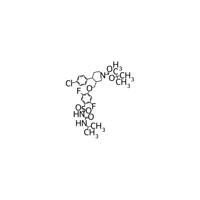 CC(C)NC(=O)NS(=O)(=O)c1cc(F)c(OCC2CN(C(=O)OC(C)(C)C)CCC2c2ccc(Cl)cc2)cc1F